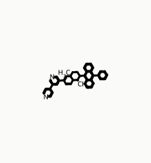 CC1C(c2c3ccccc3c(-c3ccccc3)c3ccccc23)CCC2(C)C=C(c3cncc(-c4ccncc4)c3)C=CC12